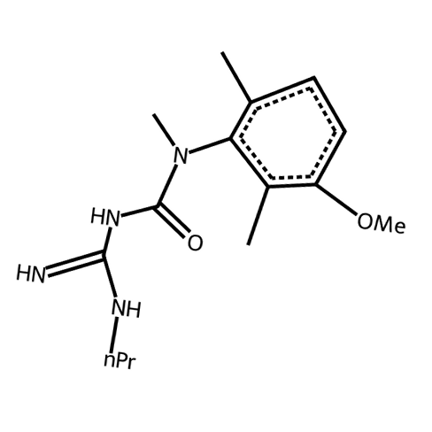 CCCNC(=N)NC(=O)N(C)c1c(C)ccc(OC)c1C